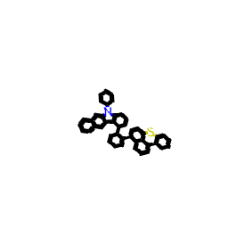 c1ccc(-n2c3cc4ccccc4cc3c3c(-c4ccccc4-c4ccc5c6c(cccc46)-c4ccccc4S5)cccc32)cc1